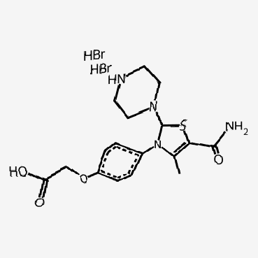 Br.Br.CC1=C(C(N)=O)SC(N2CCNCC2)N1c1ccc(OCC(=O)O)cc1